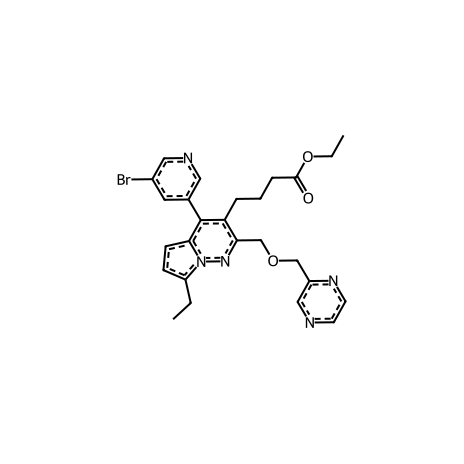 CCOC(=O)CCCc1c(COCc2cnccn2)nn2c(CC)ccc2c1-c1cncc(Br)c1